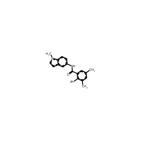 Cc1cc(C)c(C(C)C)c(C(=O)Nc2ccc3c(ccn3C)c2)c1